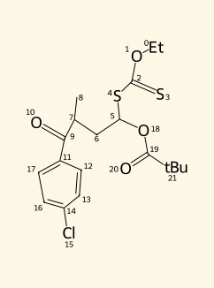 CCOC(=S)SC(CC(C)C(=O)c1ccc(Cl)cc1)OC(=O)C(C)(C)C